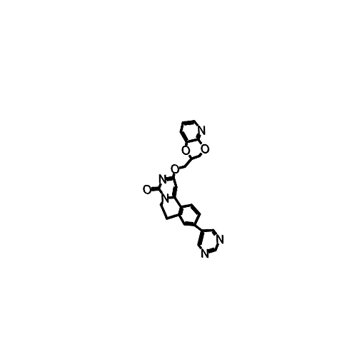 O=c1nc(OCC2COc3ncccc3O2)cc2n1CCc1cc(-c3cncnc3)ccc1-2